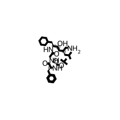 CC(C)C[C@H](CN)C[C@H](O)[C@H](CC1CCCCC1)NC(=O)CNC(=O)[C@H](Cc1ccccc1)NC(=O)OC(C)(C)C